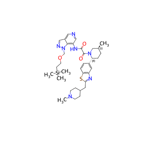 C[C@H]1CC[C@H](c2ccc3sc(CC4CCN(C)CC4)nc3c2)N(C(=O)C(=O)Nc2cncc3cnn(COCC[Si](C)(C)C)c23)C1